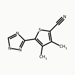 Cc1c(C#N)sc(C2=N[N]C=N2)c1C